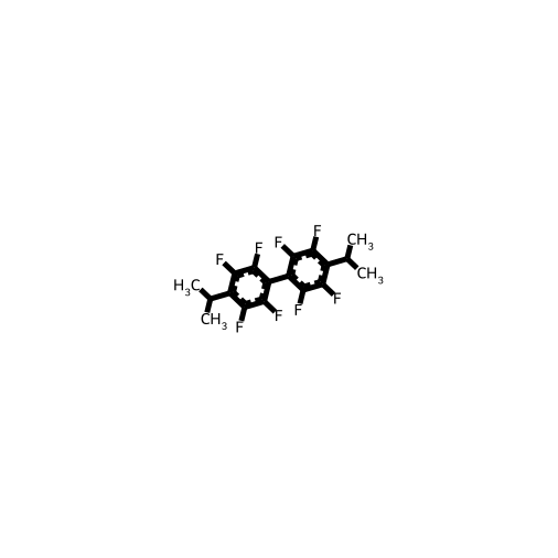 CC(C)c1c(F)c(F)c(-c2c(F)c(F)c(C(C)C)c(F)c2F)c(F)c1F